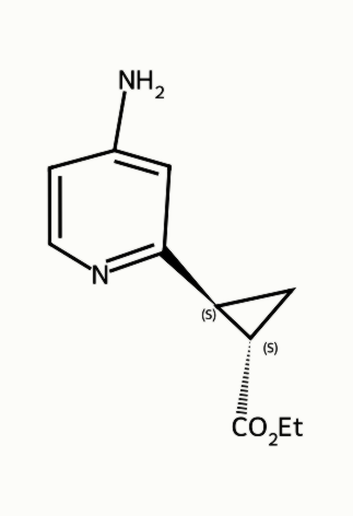 CCOC(=O)[C@H]1C[C@@H]1c1cc(N)ccn1